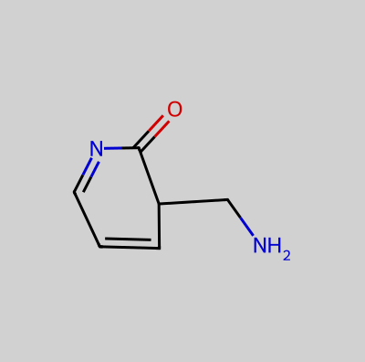 NCC1C=CC=NC1=O